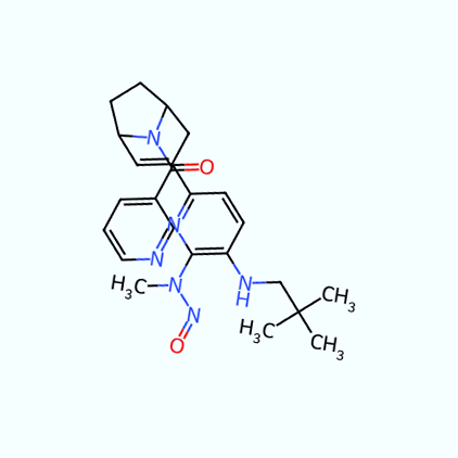 CN(N=O)c1nc(C2=CC3CCC(C2)N3C(=O)c2cccnc2)ccc1NCC(C)(C)C